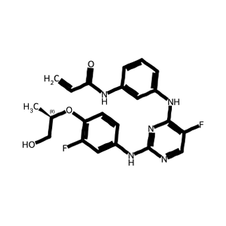 C=CC(=O)Nc1cccc(Nc2nc(Nc3ccc(O[C@H](C)CO)c(F)c3)ncc2F)c1